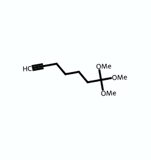 C#CCCCCC(OC)(OC)OC